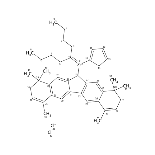 CCCC[C](CCCC)=[Zr+2]([C]1=CC=CC1)[CH]1c2cc3c(cc2-c2cc4c(cc21)C(C)(C)CC=C4C)C(C)=CCC3(C)C.[Cl-].[Cl-]